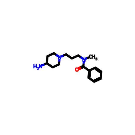 CN(CCCN1CCC(N)CC1)C(=O)c1ccccc1